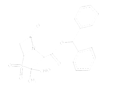 CC1(C=O)C(C(=O)OC(c2ccccc2)c2ccccc2)N2C(=O)CC2S1(=O)=O